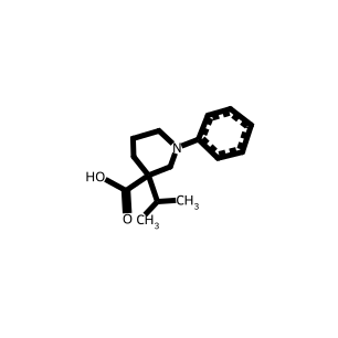 CC(C)C1(C(=O)O)CCCN(c2ccccc2)C1